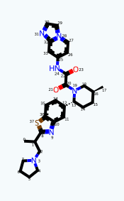 CC(CN1CCCC1)c1nc2cc([C@H]3CC[C@H](C)CN3C(=O)C(=O)Nc3ccn4ccnc4c3)ccc2s1